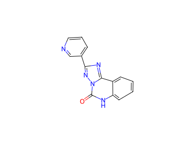 O=c1[nH]c2ccccc2c2nc(-c3cccnc3)nn12